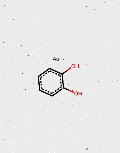 Oc1ccccc1O.[Au]